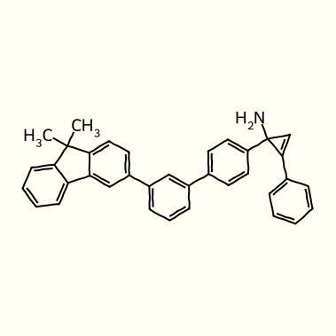 CC1(C)c2ccccc2-c2cc(-c3cccc(-c4ccc(C5(N)C=C5c5ccccc5)cc4)c3)ccc21